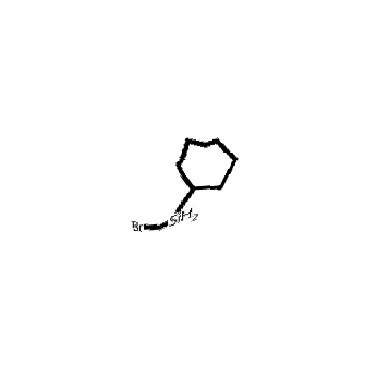 Br[SiH2]C1CCCCC1